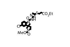 CCOC(=O)CCSc1cnc(NC(=O)N2CC3(CCN(C(=O)OC)C3)c3cc(Cl)ccc32)s1